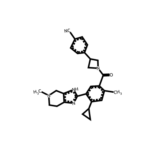 Cc1cc(C2CC2)c(-c2nc3c([nH]2)CN(C)CC3)cc1C(=O)N1CC(c2ccc(C#N)cc2)C1